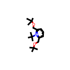 CC(C)(C)OCc1cccc(COC(C)(C)C)[n+]1C(C)(C)C